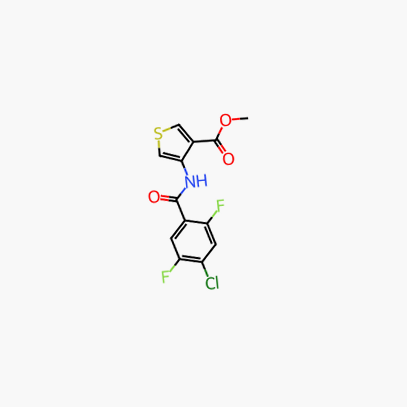 COC(=O)c1cscc1NC(=O)c1cc(F)c(Cl)cc1F